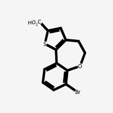 O=C(O)c1cc2c(s1)-c1cccc(Br)c1OCC2